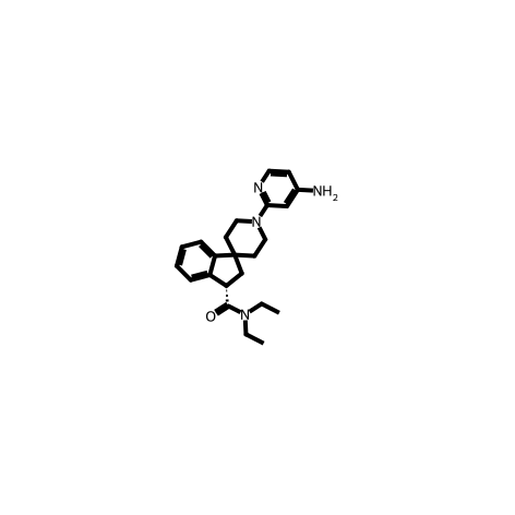 CCN(CC)C(=O)[C@H]1CC2(CCN(c3cc(N)ccn3)CC2)c2ccccc21